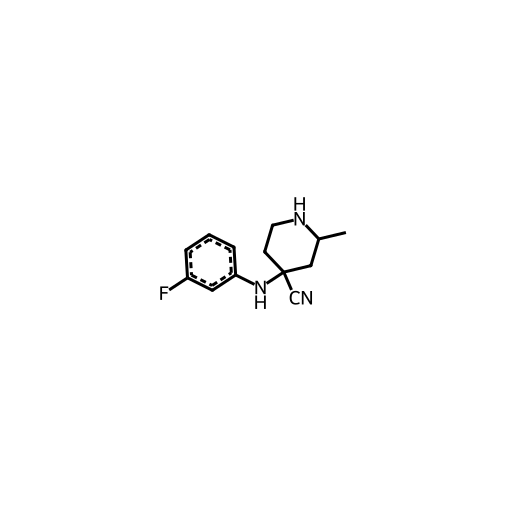 CC1CC(C#N)(Nc2cccc(F)c2)CCN1